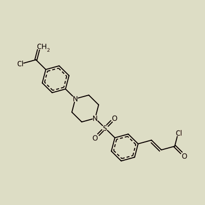 C=C(Cl)c1ccc(N2CCN(S(=O)(=O)c3cccc(/C=C/C(=O)Cl)c3)CC2)cc1